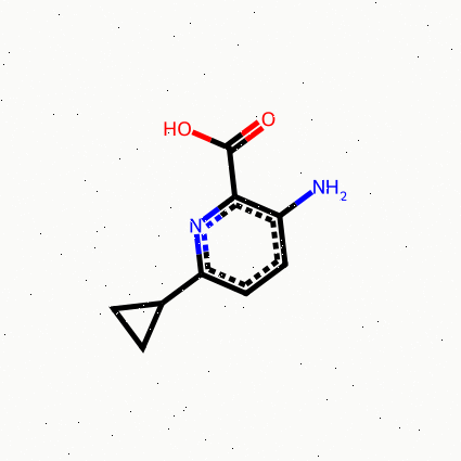 Nc1ccc(C2CC2)nc1C(=O)O